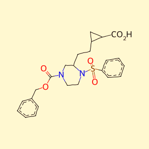 O=C(O)C1CC1CCC1CN(C(=O)OCc2ccccc2)CCN1S(=O)(=O)c1ccccc1